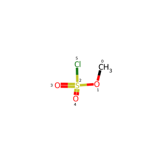 COS(=O)(=O)Cl